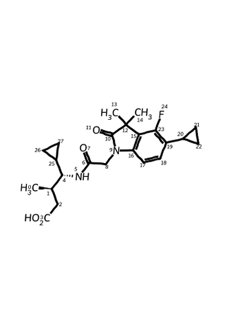 C[C@H](CC(=O)O)[C@@H](NC(=O)CN1C(=O)C(C)(C)c2c1ccc(C1CC1)c2F)C1CC1